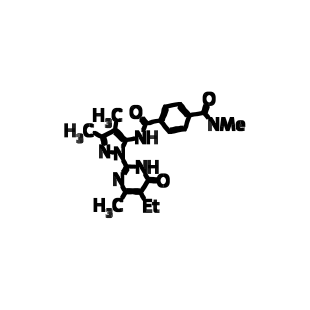 CCc1c(C)nc(-n2nc(C)c(C)c2NC(=O)c2ccc(C(=O)NC)cc2)[nH]c1=O